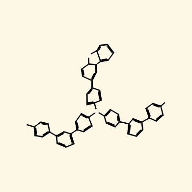 Cc1ccc(-c2cccc(-c3ccc(N(c4ccc(C5=CC6c7ccccc7OC6C=C5)cc4)c4ccc(-c5cccc(-c6ccc(C)cc6)c5)cc4)cc3)c2)cc1